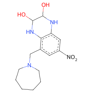 O=[N+]([O-])c1cc(CN2CCCCCC2)c2c(c1)NC(O)C(O)N2